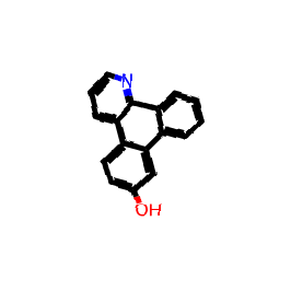 Oc1ccc2c(c1)c1ccccc1c1ncccc21